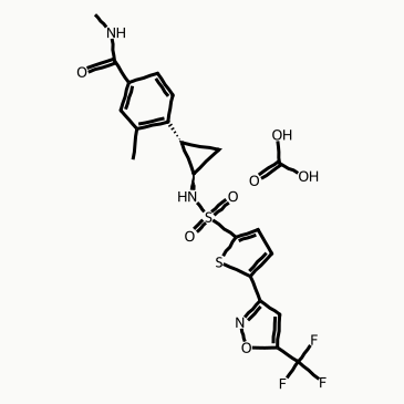 CNC(=O)c1ccc([C@@H]2C[C@H]2NS(=O)(=O)c2ccc(-c3cc(C(F)(F)F)on3)s2)c(C)c1.O=C(O)O